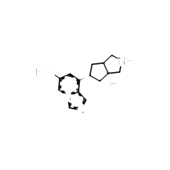 FC(F)(F)c1cc([C@H]2CC3CNC[C@H]3C2)c2cncn2c1